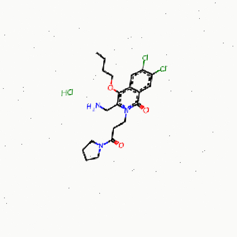 CCCCOc1c(CN)n(CCC(=O)N2CCCC2)c(=O)c2cc(Cl)c(Cl)cc12.Cl